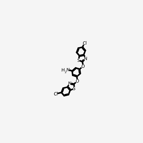 Nc1cc(Oc2nc3cc(Cl)ccc3s2)cc(Oc2nc3cc(Cl)ccc3s2)c1